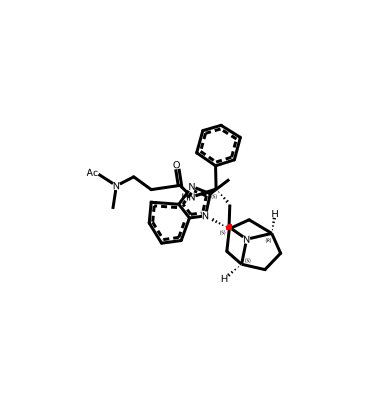 CC(=O)N(C)CCC(=O)N[C@@H](CCN1[C@@H]2CC[C@H]1C[C@H](n1c(C)nc3ccccc31)C2)c1ccccc1